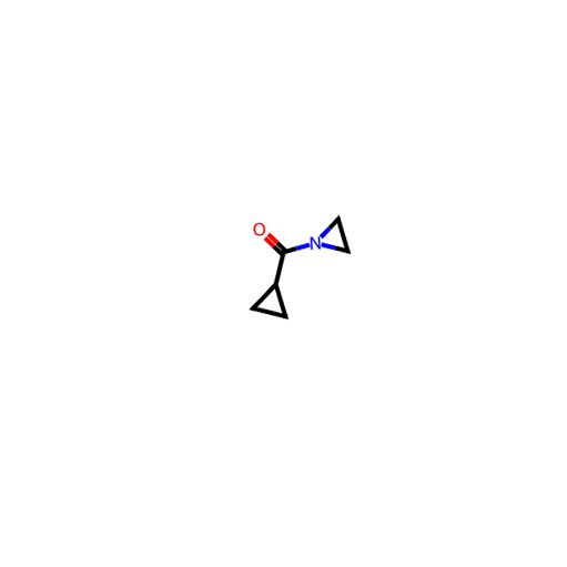 O=C(C1CC1)N1CC1